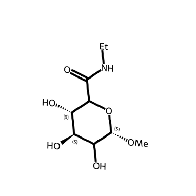 CCNC(=O)C1O[C@H](OC)C(O)[C@@H](O)[C@@H]1O